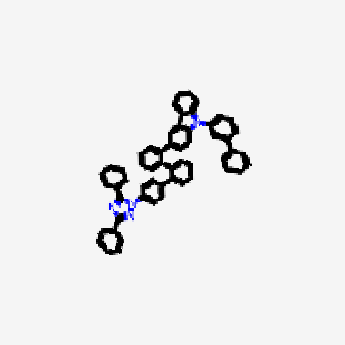 c1ccc(-c2cccc(-n3c4ccccc4c4cc(-c5ccccc5-c5ccccc5-c5ccc(-n6nc(-c7ccccc7)nc6-c6ccccc6)cc5)ccc43)c2)cc1